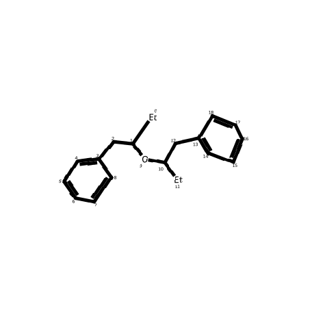 CCC(Cc1ccccc1)OC(CC)Cc1ccccc1